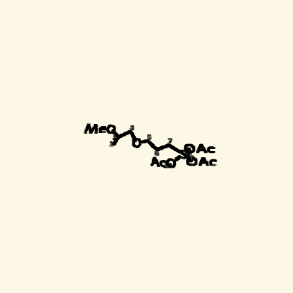 COC(C)COCCC[Si](OC(C)=O)(OC(C)=O)OC(C)=O